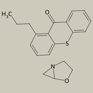 C1CN2CC2O1.CCCc1cccc2sc3ccccc3c(=O)c12